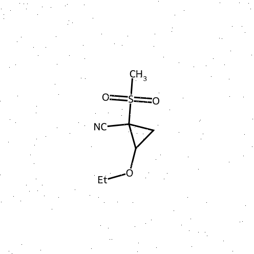 CCOC1CC1(C#N)S(C)(=O)=O